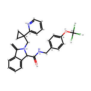 C=C1c2ccccc2C(C(=O)NCc2ccc(OC(F)(F)F)cc2)N1CC1(c2ccccn2)CC1